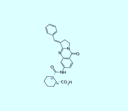 O=C(Nc1ccc2c(=O)n3c(nc2c1)C(=Cc1ccccc1)CC3)[C@H]1CCCC[C@H]1C(=O)O